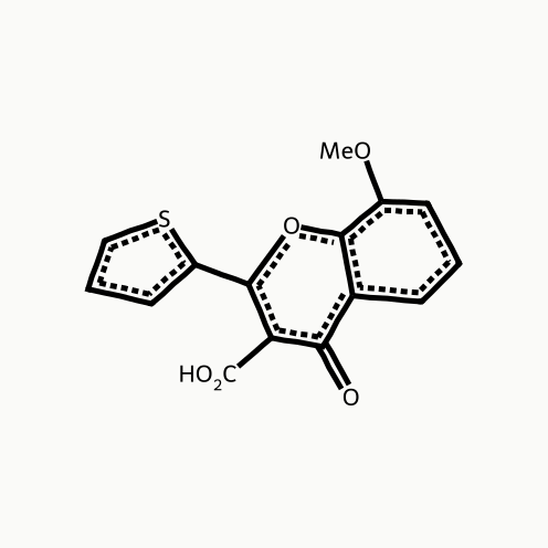 COc1cccc2c(=O)c(C(=O)O)c(-c3cccs3)oc12